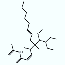 C=C(C)NC(=C)/C=C\C(C)C(C)(C/C=C/CCCCC)C(SC)C(CC)CC